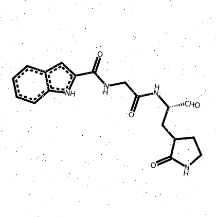 O=C[C@H](CC1CCNC1=O)NC(=O)CNC(=O)c1cc2ccccc2[nH]1